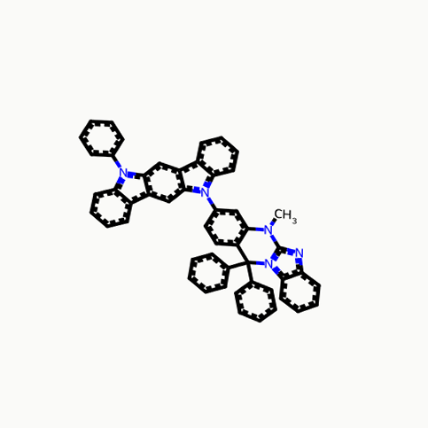 CN1c2cc(-n3c4ccccc4c4cc5c(cc43)c3ccccc3n5-c3ccccc3)ccc2C(c2ccccc2)(c2ccccc2)n2c1nc1ccccc12